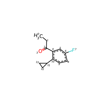 CCC(=O)c1cc(F)ccc1C1CC1